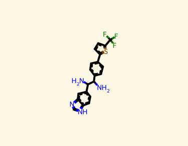 NC(c1ccc(-c2ccc(C(F)(F)F)s2)cc1)C(N)c1ccc2[nH]cnc2c1